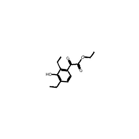 CCOC(=O)C(=O)c1ccc(CC)c(O)c1CC